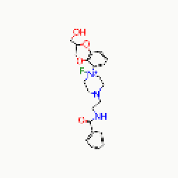 O=C(NCCN1CC[N+](F)(c2cccc3c2OCC(CO)O3)CC1)c1ccccc1